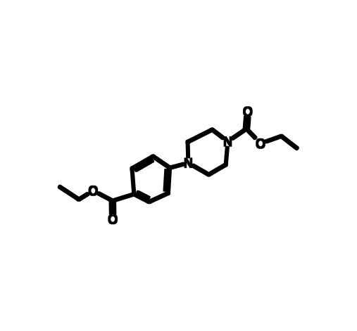 CCOC(=O)c1ccc(N2CCN(C(=O)OCC)CC2)cc1